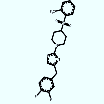 O=S(=O)(c1ccccc1C(F)(F)F)C1CCN(c2nc(Cc3ccc(F)c(F)c3)cs2)CC1